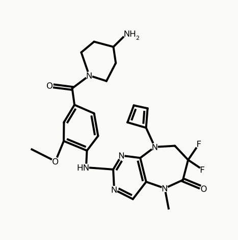 COc1cc(C(=O)N2CCC(N)CC2)ccc1Nc1ncc2c(n1)N(C1=CC=C1)CC(F)(F)C(=O)N2C